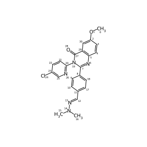 COc1ccc2nc(-c3ccc(C=NN(C)C)cc3)n(-c3ccc(Cl)cn3)c(=O)c2c1